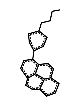 CCCCc1ccc(-c2ccc3ccc4cccc5ccc2c3c45)cc1